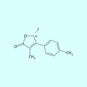 CC1=C(c2ccc(C)cc2)[C@@H](I)OC1=O